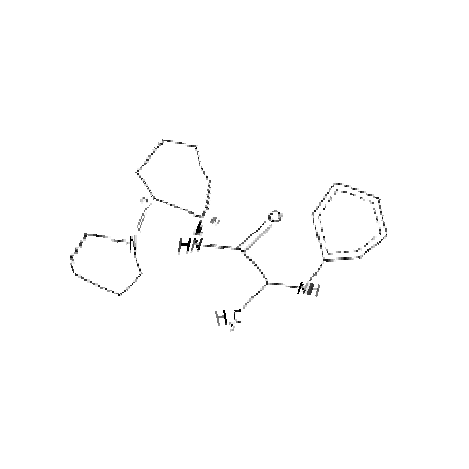 CC(Nc1ccccc1)C(=O)N[C@@H]1CCCC[C@H]1N1CCCC1